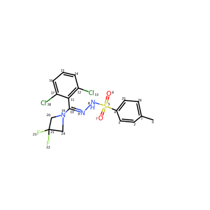 Cc1ccc(S(=O)(=O)N/N=C(\c2c(Cl)cccc2Cl)N2CC(F)(F)C2)cc1